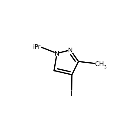 Cc1nn(C(C)C)cc1I